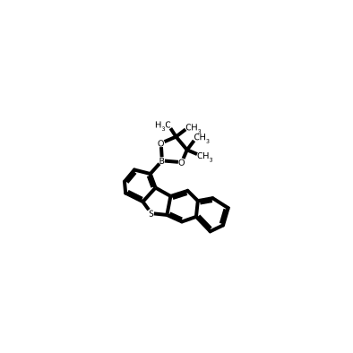 CC1(C)OB(c2cccc3sc4cc5ccccc5cc4c23)OC1(C)C